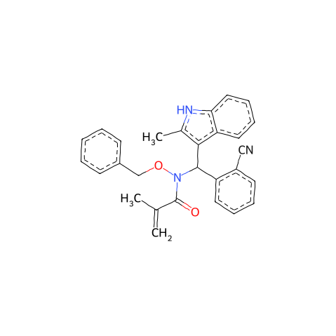 C=C(C)C(=O)N(OCc1ccccc1)C(c1ccccc1C#N)c1c(C)[nH]c2ccccc12